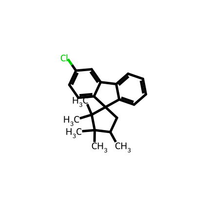 CC1CC2(c3ccccc3-c3cc(Cl)ccc32)C(C)(C)C1(C)C